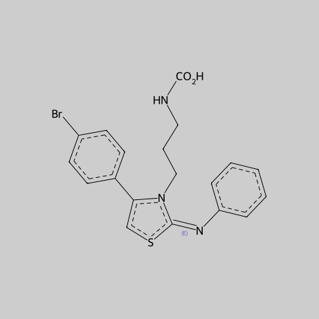 O=C(O)NCCCn1c(-c2ccc(Br)cc2)cs/c1=N/c1ccccc1